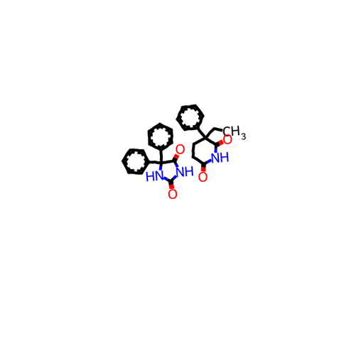 CCC1(c2ccccc2)CCC(=O)NC1=O.O=C1NC(=O)C(c2ccccc2)(c2ccccc2)N1